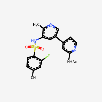 CC(=O)Nc1cc(-c2cnc(C)c(NS(=O)(=O)c3ccc(C#N)cc3F)c2)ccn1